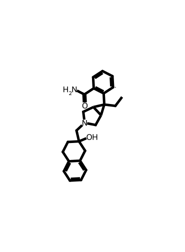 CCC1(c2[c]cccc2C(N)=O)C2CN(CC3(O)CCc4ccccc4C3)CC21